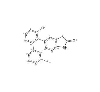 O=C1Cc2cc(-c3c(Cl)cccc3-c3cncc(F)c3)ccc2N1